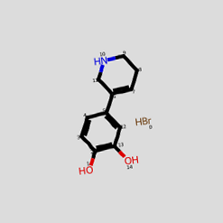 Br.Oc1ccc(C2=CCCNC2)cc1O